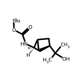 CC(C)(C)OC(=O)N[C@@H]1CC2(C(C)(C)O)CC1C2